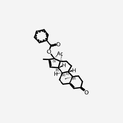 CC(=O)[C@@]1(OC(=O)c2ccccc2)C(C)=C[C@H]2[C@@H]3CCC4=CC(=O)CC[C@]4(C)[C@H]3CC[C@@]21C